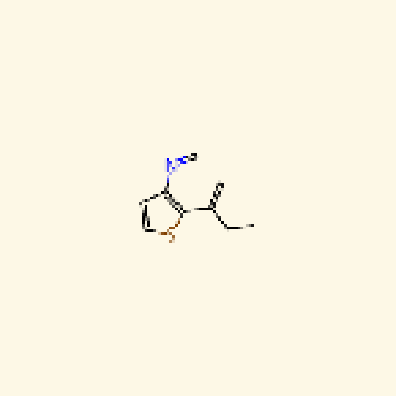 C=Nc1ccsc1C(=C)CC